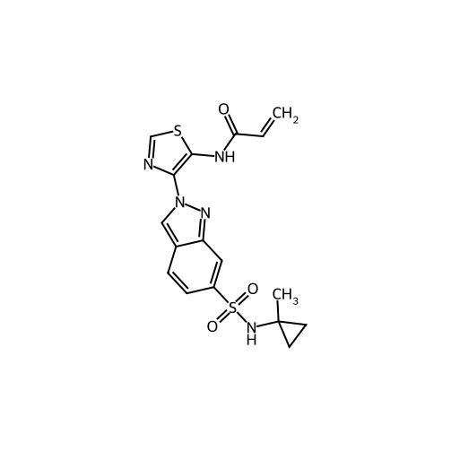 C=CC(=O)Nc1scnc1-n1cc2ccc(S(=O)(=O)NC3(C)CC3)cc2n1